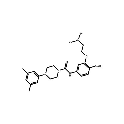 COc1ccc(NC(=O)N2CCN(c3cc(C)cc(C)c3)CC2)cc1OCCN(C(C)C)C(C)C